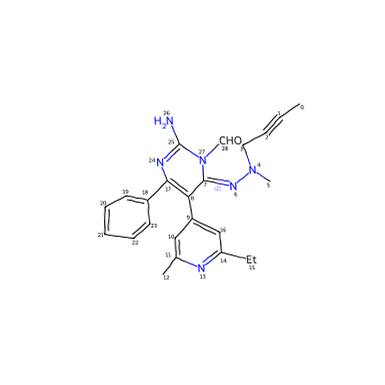 CC#CCN(C)/N=c1/c(-c2cc(C)nc(CC)c2)c(-c2ccccc2)nc(N)n1C=O